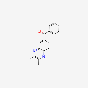 Cc1nc2ccc(C(=O)c3ccccc3)cc2nc1C